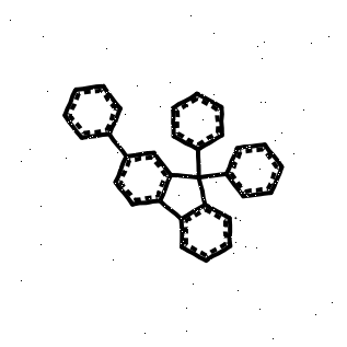 [c]1cccc2c1C(c1ccccc1)(c1ccccc1)c1cc(-c3ccccc3)ccc1-2